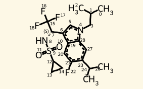 CC(C)Cn1cc([C@H](NS(=O)(=O)C2CC2)C(F)(F)F)c2cc(F)c(C(C)C)cc21